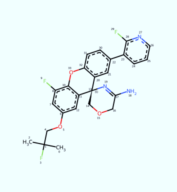 CC(C)(F)COc1cc(F)c2c(c1)[C@]1(COCC(N)=N1)c1cc(-c3cccnc3F)ccc1O2